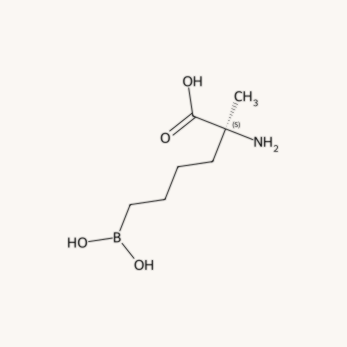 C[C@](N)(CCCCB(O)O)C(=O)O